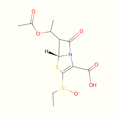 CC[S+]([O-])C1=C(C(=O)O)N2C(=O)C(C(C)OC(C)=O)[C@H]2S1